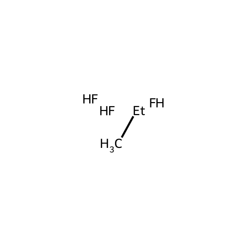 CCC.F.F.F